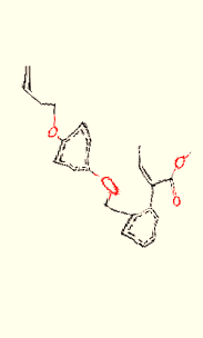 C=CCOc1ccc(OCc2ccccc2C(=CC)C(=O)OC)cc1